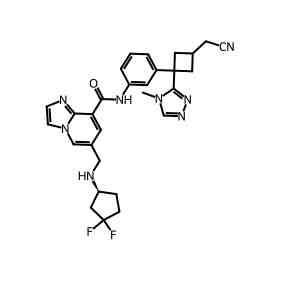 Cn1cnnc1C1(c2cccc(NC(=O)c3cc(CN[C@H]4CCC(F)(F)C4)cn4ccnc34)c2)CC(CC#N)C1